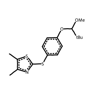 COC(Oc1ccc(Sc2nc(C)c(C)s2)cc1)C(C)(C)C